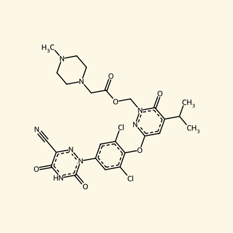 CC(C)c1cc(Oc2c(Cl)cc(-n3nc(C#N)c(=O)[nH]c3=O)cc2Cl)nn(COC(=O)CN2CCN(C)CC2)c1=O